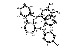 Cc1ccc2c(c1)c1ccccc1n2-c1cccc2c3ccccc3n(-c3ccc(C)c(C)c3)c12